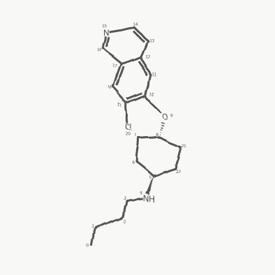 CCCCN[C@H]1CC[C@H](Oc2cc3ccncc3cc2Cl)CC1